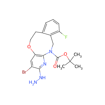 CC(C)(C)OC(=O)N1Cc2c(F)cccc2CCOc2cc(Br)c(NN)nc21